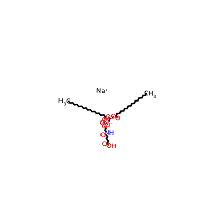 CCCCCCCCCCCCCCCCCC(=O)OC[C@H](COP(=O)([O-])OCCNC(=O)CCCC(=O)O)OC(=O)CCCCCCCCCCCCCCCCC.[Na+]